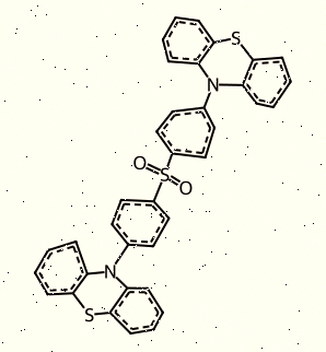 O=S(=O)(c1ccc(N2c3ccccc3Sc3ccccc32)cc1)c1ccc(N2c3ccccc3Sc3ccccc32)cc1